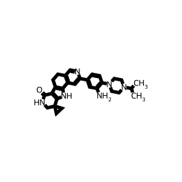 CC(C)N1CCN(c2ccc(-c3cc4c(cn3)CCc3c-4[nH]c4c3C(=O)NCC43CC3)cc2N)CC1